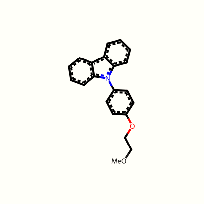 COCCOc1ccc(-n2c3ccccc3c3ccccc32)cc1